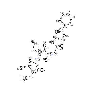 CCN1C(=O)/C(=c2\s/c(=C/c3nc4oc(-c5ccccc5)cc4o3)c(=O)n2CC)SC1=S